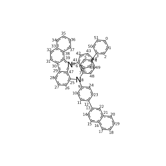 c1ccc(-c2ccc(N(c3ccc(-c4ccc5ccccc5c4)cc3)c3cccc4c5ccc6ccccc6c5n(-c5ccccc5)c34)cc2)cc1